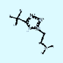 CN(C)CCn1nnc(C(C)(C)C)n1